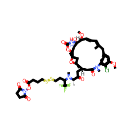 COc1cc2cc(c1Cl)N(C)C(=O)C[C@H](CC(=O)[C@H](C)N(C)C(CCSSCCCC(=O)ON1C(=O)CCC1=O)C(F)(F)F)[C@@]1(C)CC(C)(O1)C1C[C@@](O)(NC(=O)O1)[C@H](OC)/C=C/C=C(\C)C2